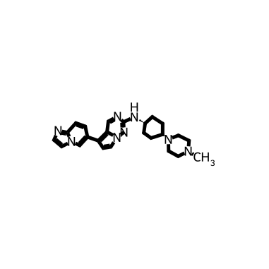 CN1CCN([C@H]2CC[C@@H](Nc3ncc4c(-c5ccc6nccn6c5)ccn4n3)CC2)CC1